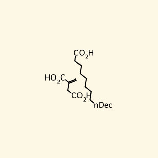 C=C(CC(=O)O)C(=O)O.CCCCCCCCCCCCCCCCCC(=O)O